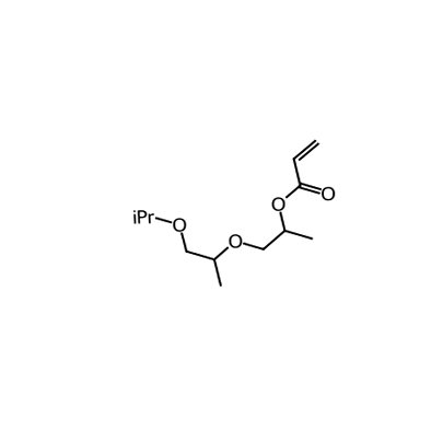 C=CC(=O)OC(C)COC(C)COC(C)C